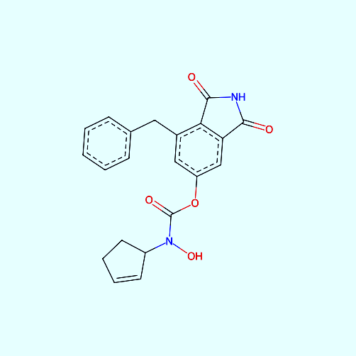 O=C1NC(=O)c2c(Cc3ccccc3)cc(OC(=O)N(O)C3C=CCC3)cc21